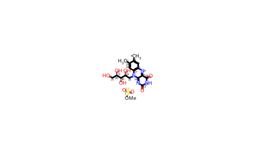 CO[SH](=O)=O.Cc1cc2nc3c(=O)[nH]c(=O)nc-3n(C[C@H](O)[C@H](O)[C@H](O)CO)c2cc1C